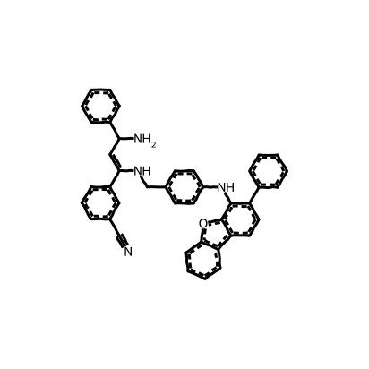 N#Cc1cccc(/C(=C/C(N)c2ccccc2)NCc2ccc(Nc3c(-c4ccccc4)ccc4c3oc3ccccc34)cc2)c1